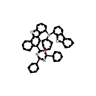 c1ccc(-c2nc(-c3ccccc3)nc(-c3cc4c(oc5cccc(N(c6ccccc6)c6cccc7c6oc6ccccc67)c54)c4ccccc34)n2)cc1